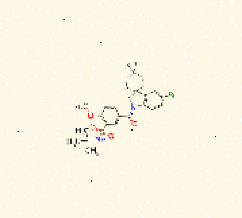 COc1ccc(C(=O)N2CC3(CCC4(CC4)CC3)c3cc(Br)ccc32)cc1S(=O)(=O)NC(C)(C)C